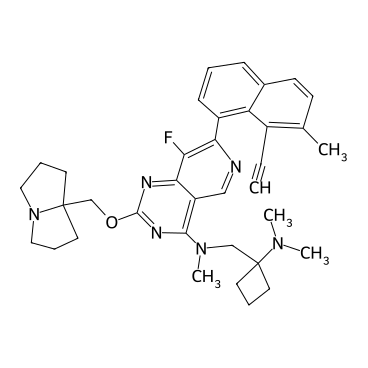 C#Cc1c(C)ccc2cccc(-c3ncc4c(N(C)CC5(N(C)C)CCC5)nc(OCC56CCCN5CCC6)nc4c3F)c12